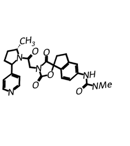 CNC(=O)Nc1ccc2c(c1)CCC21OC(=O)N(CC(=O)N2C(c3ccncc3)CC[C@@H]2C)C1=O